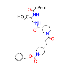 CCCCCC(=O)NC(CNC(=O)[C@@H]1CCCN(C(=O)CCC2CCN(C(=O)OCc3ccccc3)CC2)C1)C(=O)O